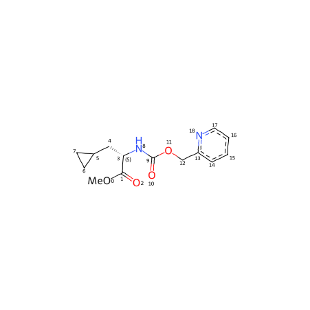 COC(=O)[C@H](CC1CC1)NC(=O)OCc1ccccn1